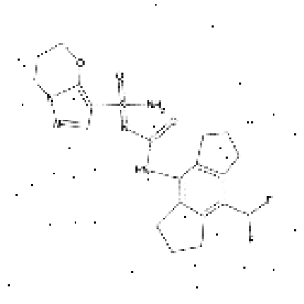 NS(=O)(=NC(=O)Nc1c2c(c(C(F)F)c3c1CCC3)CCC2)c1cnn2c1OCCC2